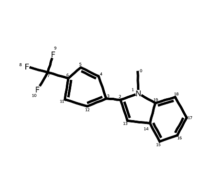 Cn1c(-c2ccc(C(F)(F)F)cc2)cc2ccccc21